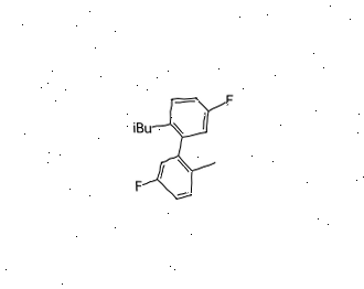 CCC(C)c1ccc(F)cc1-c1cc(F)ccc1C